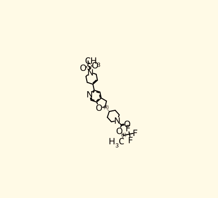 C[C@H](OC(=O)N1CCC([C@H]2Cc3cc(C4=CCN(S(C)(=O)=O)CC4)ncc3O2)CC1)C(F)(F)F